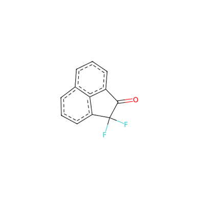 O=C1c2cccc3cccc(c23)C1(F)F